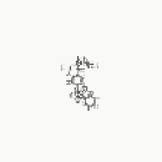 CCN(CC)CC(O)(c1ccc(N(C)S(=O)(=O)c2ccccc2)cc1)C(F)(F)F